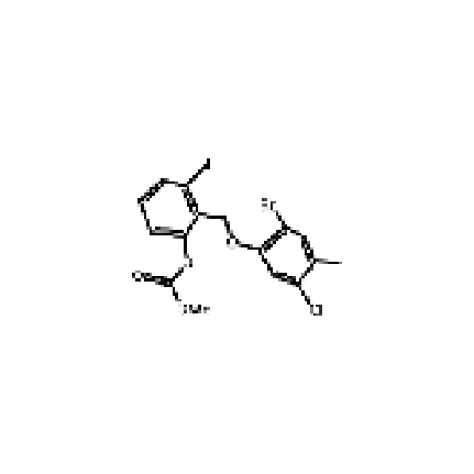 COC(=O)Oc1cccc(I)c1COc1cc(Cl)c(C)cc1Br